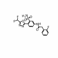 NS(=O)(=O)c1cc(NC(=O)Cc2ccccc2F)ccc1-c1nnc(C(F)F)o1